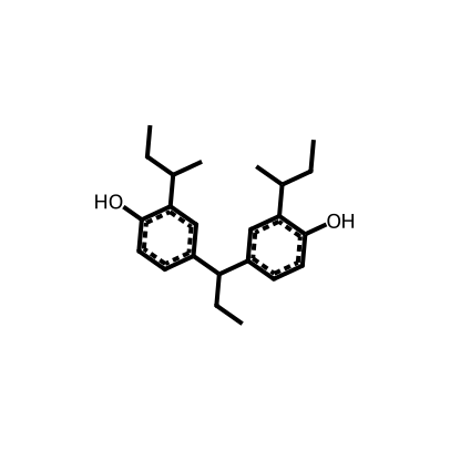 CCC(C)c1cc(C(CC)c2ccc(O)c(C(C)CC)c2)ccc1O